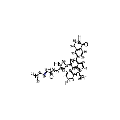 CC(C)Oc1cc(F)ccc1-c1c(-c2cc(CNC(=O)/C=C/CN(C)C)[nH]n2)nc(-c2ccc3c(c2)CCNC3=O)c2ccsc12